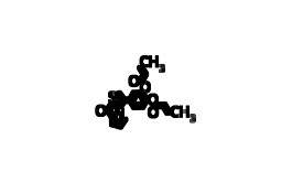 CCCC(=O)Oc1ccc(-c2csc3c2-n2cccc2C3=O)cc1OC(=O)CCC